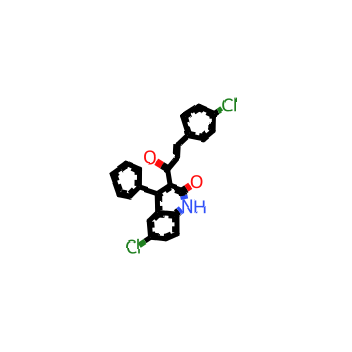 O=C(C=Cc1ccc(Cl)cc1)c1c(-c2ccccc2)c2cc(Cl)ccc2[nH]c1=O